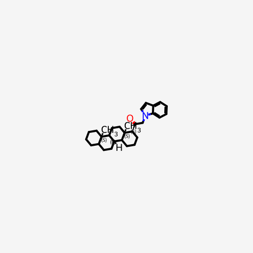 C[C@]12CCCCC1CC[C@@H]1C2CC[C@@]2(C)C1CCC[C@@H]2C(=O)Cn1ccc2ccccc21